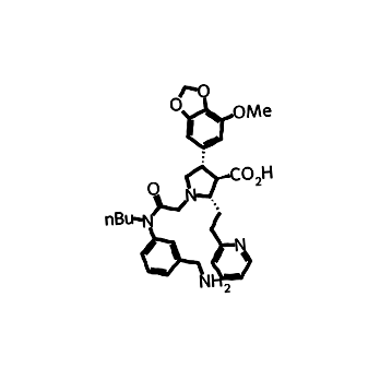 CCCCN(C(=O)CN1C[C@H](c2cc(OC)c3c(c2)OCO3)[C@@H](C(=O)O)[C@@H]1CCc1ccccn1)c1cccc(CN)c1